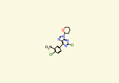 O=[N+]([O-])c1cc(-c2nc(Cl)nc3c2ncn3C2CCCCO2)ccc1Cl